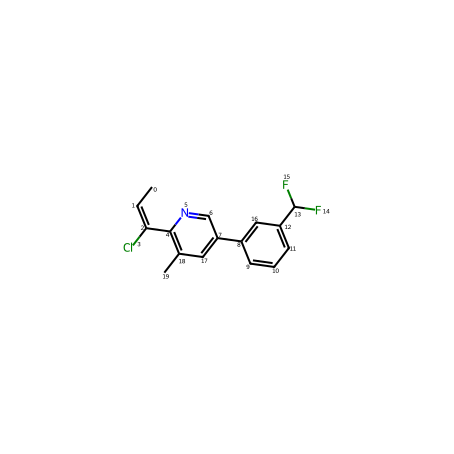 C/C=C(/Cl)c1ncc(-c2cccc(C(F)F)c2)cc1C